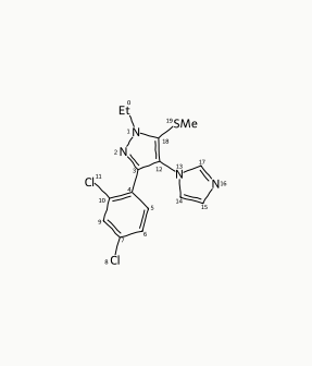 CCn1nc(-c2ccc(Cl)cc2Cl)c(-n2ccnc2)c1SC